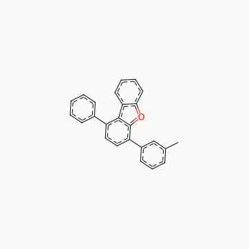 Cc1cccc(-c2ccc(-c3ccccc3)c3c2oc2ccccc23)c1